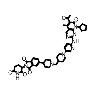 CC(=O)c1c(C)c2cnc(Nc3ccc(N4CCC(CN5CCC(c6ccc7c(c6)C(=O)N(C6CCC(=O)NC6=O)C7=O)CC5)CC4)cn3)nc2n(C2CCCC2)c1=O